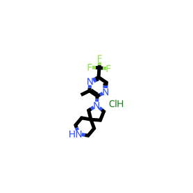 Cc1nc(C(F)(F)F)cnc1N1CCC2(CCNCC2)C1.Cl